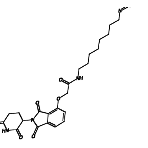 [N-]=[N+]=NCCCCCCCCNC(=O)COc1cccc2c1C(=O)N(C1CCC(=O)NC1=O)C2=O